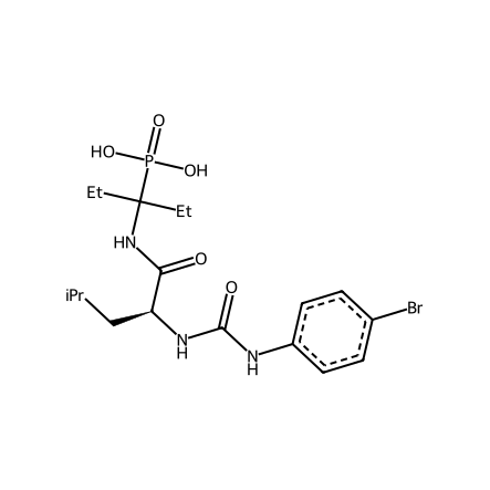 CCC(CC)(NC(=O)[C@H](CC(C)C)NC(=O)Nc1ccc(Br)cc1)P(=O)(O)O